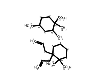 C=CCC1(CC=C)CCCCC1(C(=O)O)C(=O)O.CC1CC(C(=O)O)CCC1(C)C(=O)O